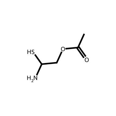 CC(=O)OCC(N)S